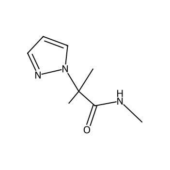 CNC(=O)C(C)(C)n1cccn1